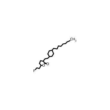 CCCCCCCCCC1CCC(CCC2CCC(CCF)OC2=O)CC1